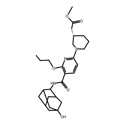 CCCOc1nc(N2CCC[C@@H](CC(=O)OC)C2)ccc1C(=O)NC1C2CC3CC1CC(O)(C3)C2